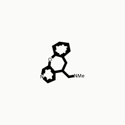 CNCC1Cc2ccccc2Oc2cnccc21